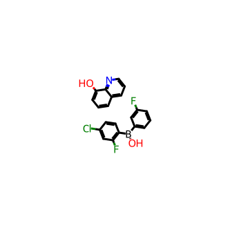 OB(c1cccc(F)c1)c1ccc(Cl)cc1F.Oc1cccc2cccnc12